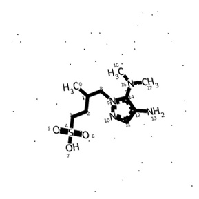 CC(CCS(=O)(=O)O)Cn1ncc(N)c1N(C)C